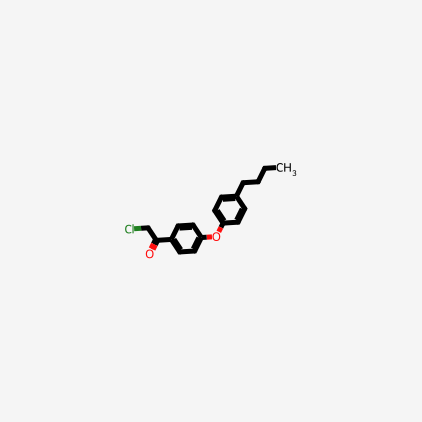 CCCCc1ccc(Oc2ccc(C(=O)CCl)cc2)cc1